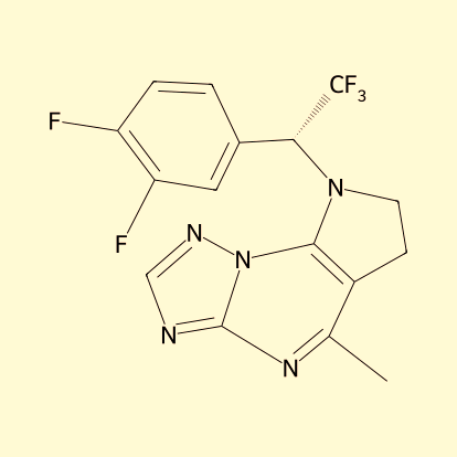 Cc1nc2ncnn2c2c1CCN2[C@H](c1ccc(F)c(F)c1)C(F)(F)F